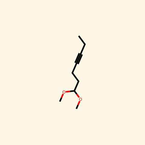 CCC#CCCC(OC)OC